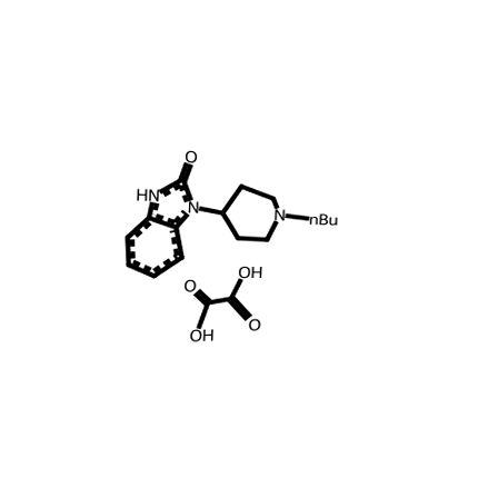 CCCCN1CCC(n2c(=O)[nH]c3ccccc32)CC1.O=C(O)C(=O)O